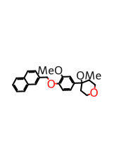 COc1cc(C2(OC)CCOCC2)ccc1OCc1ccc2ccccc2c1